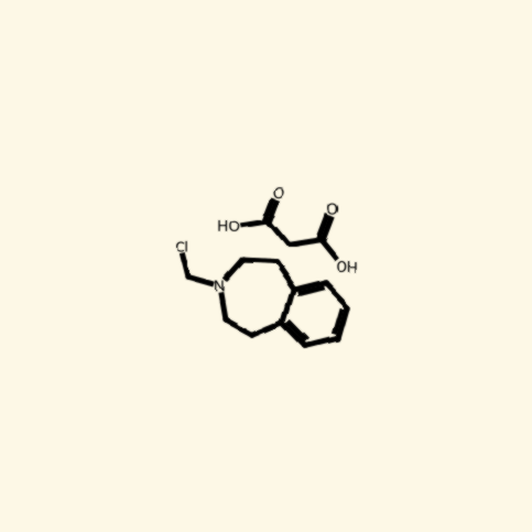 ClCN1CCc2ccccc2CC1.O=C(O)CC(=O)O